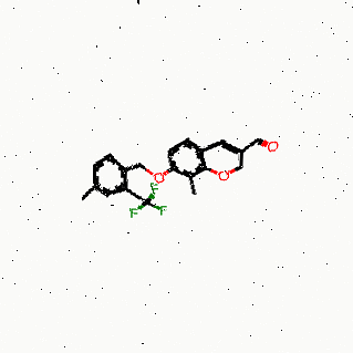 Cc1ccc(COc2ccc3c(c2C)OCC(C=O)=C3)c(C(F)(F)F)c1